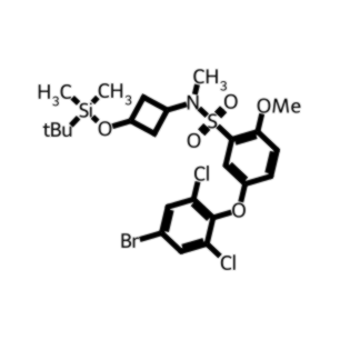 COc1ccc(Oc2c(Cl)cc(Br)cc2Cl)cc1S(=O)(=O)N(C)C1CC(O[Si](C)(C)C(C)(C)C)C1